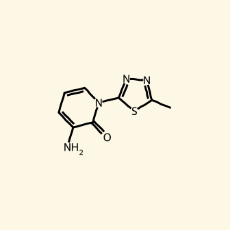 Cc1nnc(-n2cccc(N)c2=O)s1